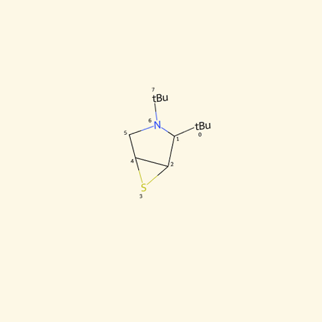 CC(C)(C)C1C2SC2CN1C(C)(C)C